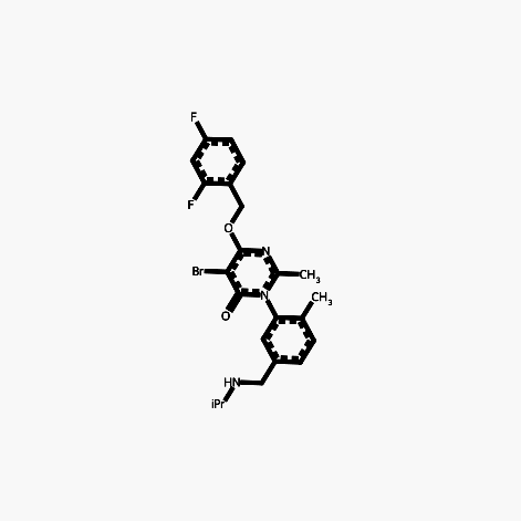 Cc1ccc(CNC(C)C)cc1-n1c(C)nc(OCc2ccc(F)cc2F)c(Br)c1=O